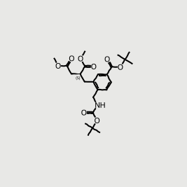 COC(=O)C[C@H](Cc1cc(C(=O)OC(C)(C)C)ccc1CNC(=O)OC(C)(C)C)C(=O)OC